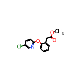 COC(=O)Cc1ccccc1Oc1ccc(Cl)cn1